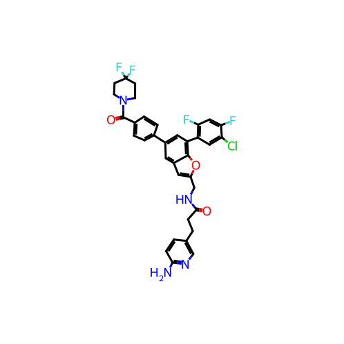 Nc1ccc(CCC(=O)NCc2cc3cc(-c4ccc(C(=O)N5CCC(F)(F)CC5)cc4)cc(-c4cc(Cl)c(F)cc4F)c3o2)cn1